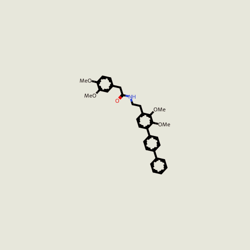 COc1ccc(CC(=O)NCCc2ccc(-c3ccc(-c4ccccc4)cc3)c(OC)c2OC)cc1OC